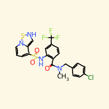 CN(Cc1ccc(Cl)cc1)C(=O)c1ccc(C(F)(F)F)cc1NS(=O)(=O)C1=CC=CN2SNC=C12